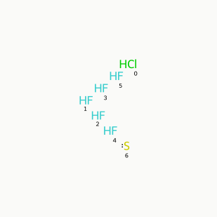 Cl.F.F.F.F.F.[S]